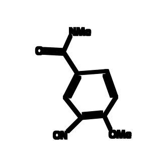 CNC(=O)c1ccc(OC)c(N=O)c1